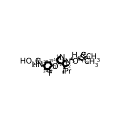 CC(C)c1cn(COCC[Si](C)(C)C)c2nccc(Oc3ccc(NC(=O)O)cc3F)c12